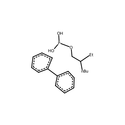 CCCCC(CC)COP(O)O.c1ccc(-c2ccccc2)cc1